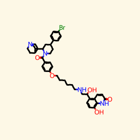 O=C(c1ccc(OCCCCCCNCC(O)c2ccc(O)c3[nH]c(=O)ccc23)cc1)N1CCC(c2ccc(Br)cc2)CC1C1CN2CCC1CC2